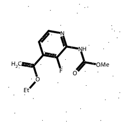 C=C(OCC)c1ccnc(NC(=O)OC)c1F